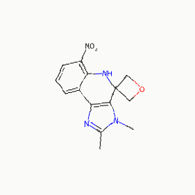 Cc1nc2c(n1C)C1(COC1)Nc1c-2cccc1[N+](=O)[O-]